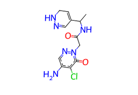 CC(NC(=O)Cn1ncc(N)c(Cl)c1=O)C1=CCNN=C1